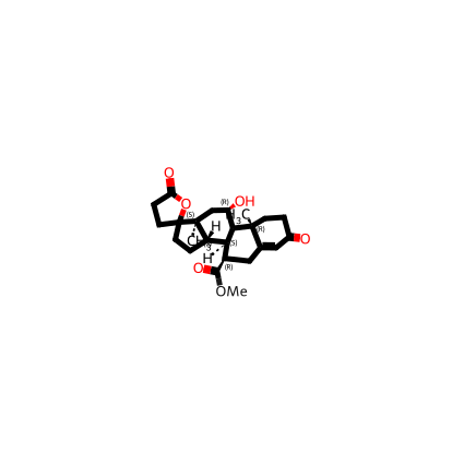 COC(=O)[C@@H]1CC2=CC(=O)CC[C@]2(C)C2[C@@H]1[C@@H]1CCC3(CCC(=O)O3)[C@@]1(C)C[C@H]2O